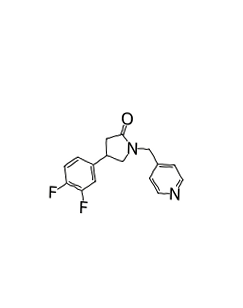 O=C1CC(c2ccc(F)c(F)c2)CN1Cc1ccncc1